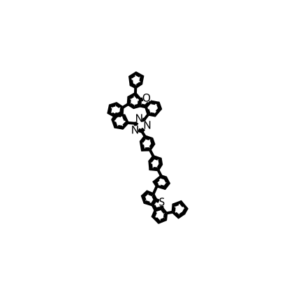 c1ccc(-c2cc(-c3ccccc3)c3oc4cccc(-c5nc(-c6ccccc6)nc(-c6ccc(-c7ccc(-c8cccc(-c9cccc%10c9sc9c(-c%11ccccc%11)cccc9%10)c8)cc7)cc6)n5)c4c3c2)cc1